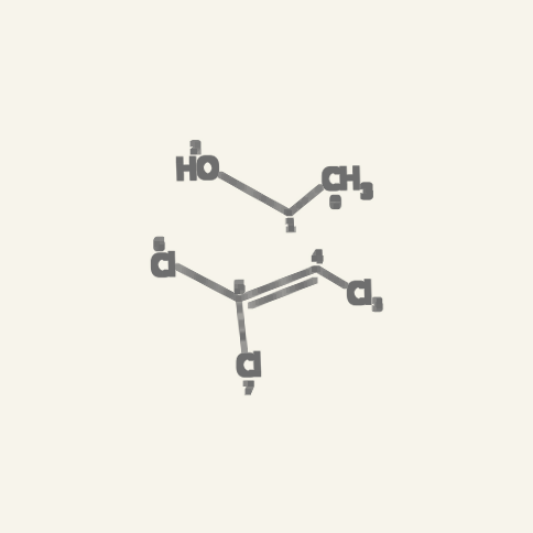 CCO.ClC=C(Cl)Cl